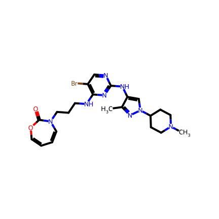 Cc1nn(C2CCN(C)CC2)cc1Nc1ncc(Br)c(NCCCN2C=CC=COC2=O)n1